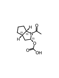 CC(=O)N1[C@@H](OC(=O)O)C[C@@H]2CCC[C@@H]21